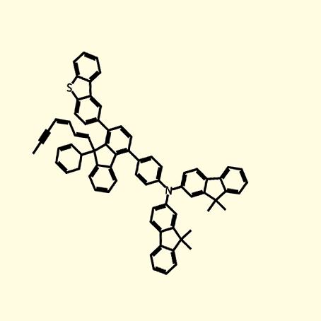 CC#C/C=C\C=CC1(C2C=CC=CC2)c2ccccc2-c2c(-c3ccc(N(c4ccc5c(c4)C(C)(C)c4ccccc4-5)c4ccc5c(c4)C(C)(C)c4ccccc4-5)cc3)ccc(-c3ccc4sc5ccccc5c4c3)c21